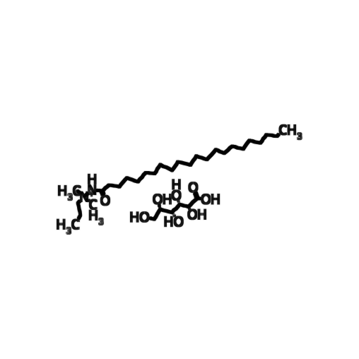 CCCCCCCCCCCCCCCCCCCCCC(=O)N[N+](C)(C)CCC.O=C(O)[C@H](O)[C@@H](O)[C@H](O)[C@H](O)CO